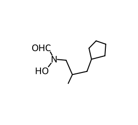 CC(CC1CCCC1)CN(O)C=O